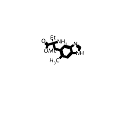 CC[C@](N)(Cc1cc2nc[nH]c2cc1C)C(=O)OC